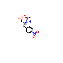 CB(O)N[C@H](CO)Cc1ccc([N+](=O)[O-])cc1